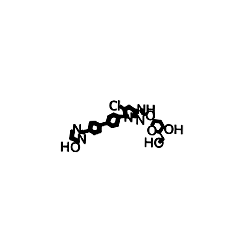 OC[C@H]1OC[C@H](Oc2nc3nc(-c4ccc(-c5ccc(-c6nccc(O)n6)cc5)cc4)c(Cl)cc3[nH]2)C[C@@H]1O